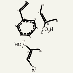 C=Cc1ccccc1.CC=C(C)C(=O)O.CCC=C(C)C(=O)O